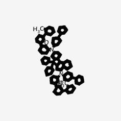 Cc1ccccc1-c1cccc2c1oc1c(N(c3ccc(-c4ccccc4)cc3)c3ccc4c(c3)C(c3ccccc3)(c3ccccc3)c3cc(N(c5ccc(-c6ccccc6)cc5)c5cccc6c5oc5c(-c7ccccc7C)cccc56)c5ccccc5c3-4)cccc12